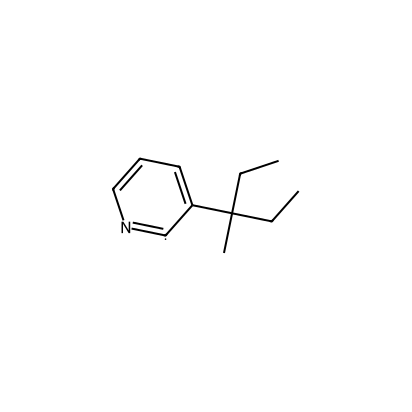 CCC(C)(CC)c1[c]nccc1